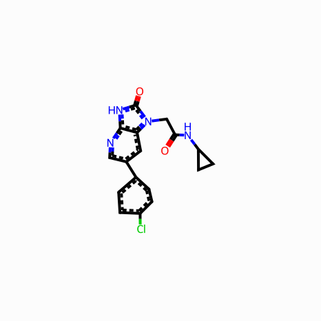 O=C(Cn1c(=O)[nH]c2ncc(-c3ccc(Cl)cc3)cc21)NC1CC1